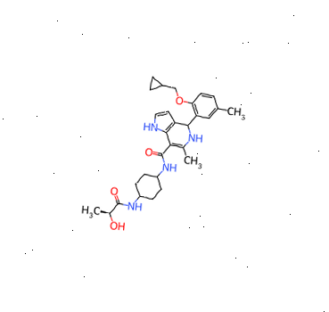 CC1=C(C(=O)NC2CCC(NC(=O)[C@H](C)O)CC2)c2[nH]ccc2C(c2cc(C)ccc2OCC2CC2)N1